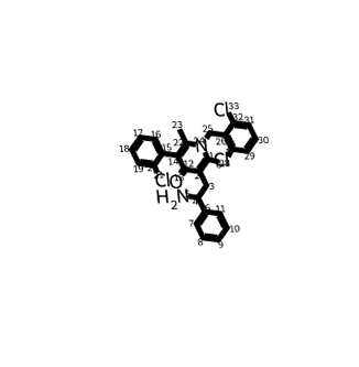 Cc1c(CC(N)c2ccccc2)c(=O)c(-c2ccccc2Cl)c(C)n1Cc1c(Cl)cccc1Cl